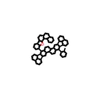 Cc1ccccc1-c1c2c(cc3c1ccc1c4cc5c(c(-c6cccc7c6oc6c7ccc7ccc8ccccc8c76)c4ccc31)-c1cccc3cccc-5c13)-c1cccc3cccc-2c13